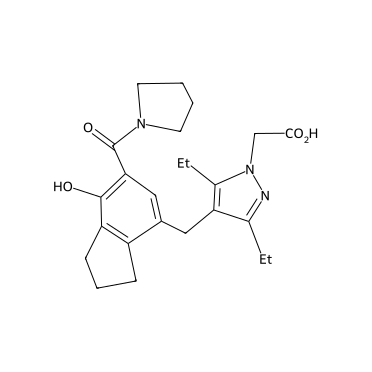 CCc1nn(CC(=O)O)c(CC)c1Cc1cc(C(=O)N2CCCC2)c(O)c2c1CCC2